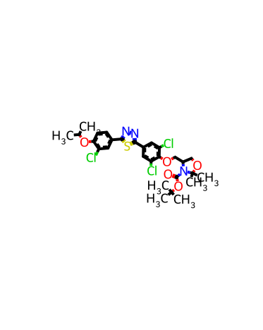 CC(C)Oc1ccc(-c2nnc(-c3cc(Cl)c(OCC4COC(C)(C)N4C(=O)OC(C)(C)C)c(Cl)c3)s2)cc1Cl